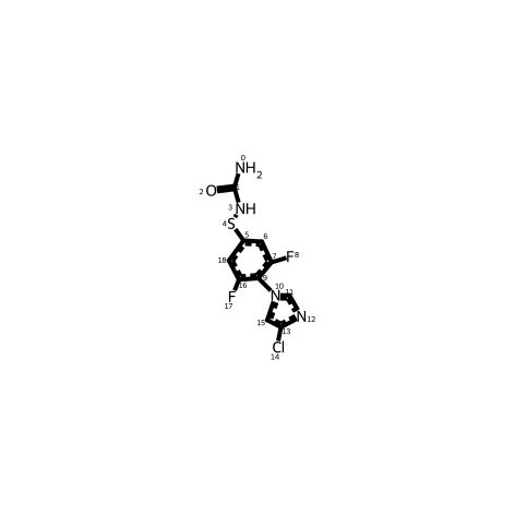 NC(=O)NSc1cc(F)c(-n2cnc(Cl)c2)c(F)c1